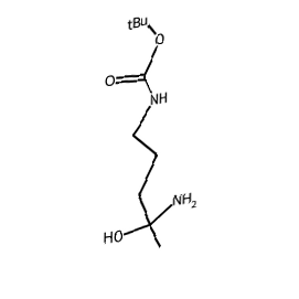 CC(N)(O)CCCNC(=O)OC(C)(C)C